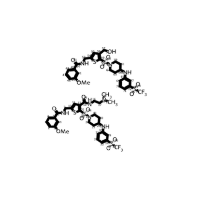 COc1cccc(C(=O)NCc2cc(C(=O)NCCN(C)C)c(S(=O)(=O)N3CCC(Nc4cccc(S(=O)(=O)C(F)(F)F)c4)CC3)s2)c1.COc1cccc(C(=O)NCc2cc(CO)c(S(=O)(=O)N3CCC(Nc4cccc(S(=O)(=O)C(F)(F)F)c4)CC3)s2)c1